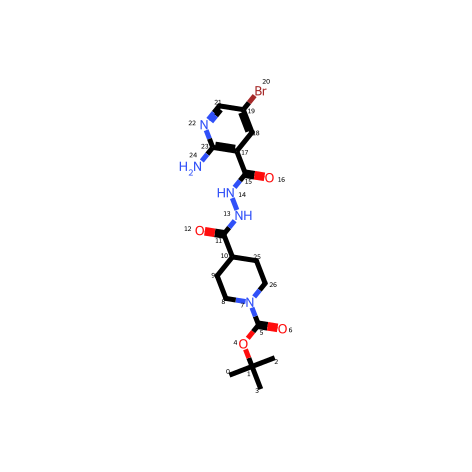 CC(C)(C)OC(=O)N1CCC(C(=O)NNC(=O)c2cc(Br)cnc2N)CC1